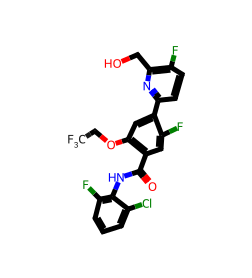 O=C(Nc1c(F)cccc1Cl)c1cc(F)c(-c2ccc(F)c(CO)n2)cc1OCC(F)(F)F